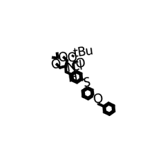 CC(C)(C)OC(=O)NC1(Cc2ccc(Sc3cccc(OCc4ccccc4)c3)cc2Cl)COC(C)(C)OC1